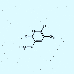 Cc1cc(OC(=O)O)c(=O)[nH]c1C